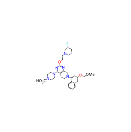 COCOc1cc(N2CCc3c(nc(OCCN4CCCC(F)C4)nc3N3CCN(C(=O)O)CC3)C2)c2ccccc2c1